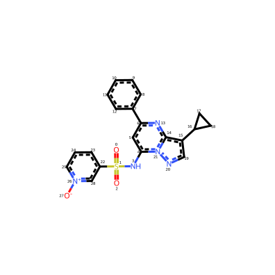 O=S(=O)(Nc1cc(-c2ccccc2)nc2c(C3CC3)cnn12)c1ccc[n+]([O-])c1